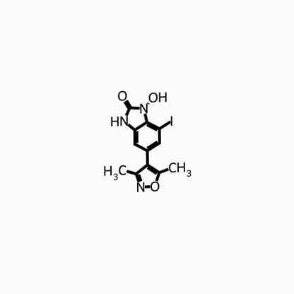 Cc1noc(C)c1-c1cc(I)c2c(c1)[nH]c(=O)n2O